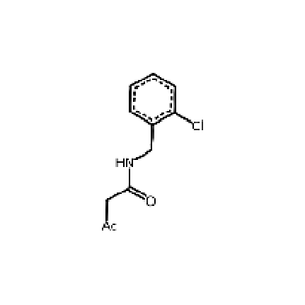 CC(=O)CC(=O)NCc1ccccc1Cl